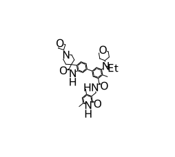 CCN(c1cc(-c2ccc3c(c2)NC(=O)C32CCN(C3COC3)CC2)cc(C(=O)NCc2c(C)cc(C)[nH]c2=O)c1C)C1CCOCC1